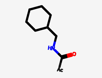 CC(=O)C(=O)NCC1CCCCC1